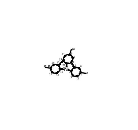 Cc1ccc2c(c1)c1cc(C)cc3c4cc(C)ccc4n2c13